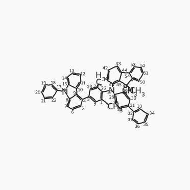 Cc1cc(-c2cccc3c2c2ccccc2n3-c2ccccc2)cc(C)c1N(c1ccc(-c2ccccc2)cc1)c1cccc2c1C(C)(C)c1ccccc1-2